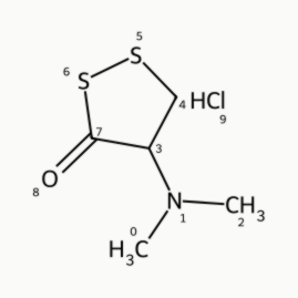 CN(C)C1CSSC1=O.Cl